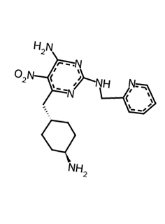 Nc1nc(NCc2ccccn2)nc(C[C@H]2CC[C@H](N)CC2)c1[N+](=O)[O-]